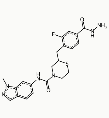 Cn1ncc2ccc(NC(=O)N3CCSC(Cc4ccc(C(=O)NN)cc4F)C3)cc21